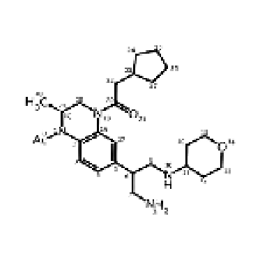 CC(=O)N1c2ccc(C(CN)CNC3CCOCC3)cc2N(C(=O)CC2CCCC2)C[C@@H]1C